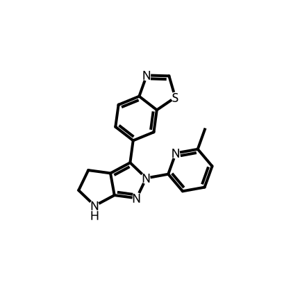 Cc1cccc(-n2nc3c(c2-c2ccc4ncsc4c2)CCN3)n1